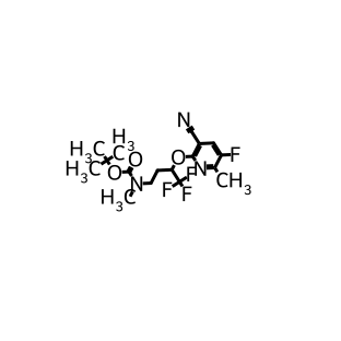 Cc1nc(OC(CCN(C)C(=O)OC(C)(C)C)C(F)(F)F)c(C#N)cc1F